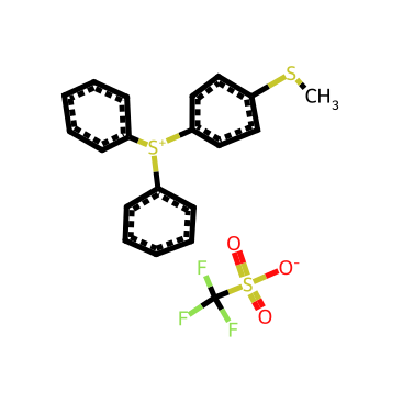 CSc1ccc([S+](c2ccccc2)c2ccccc2)cc1.O=S(=O)([O-])C(F)(F)F